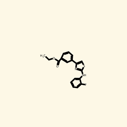 CCOC(=O)c1cccc(-c2csc(Nc3ccccc3F)n2)c1